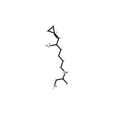 CC(C)CC(C)NCCCCC(N)C=C1CC1